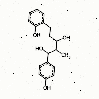 CC(C(O)CCc1ccccc1O)C(O)c1ccc(O)cc1